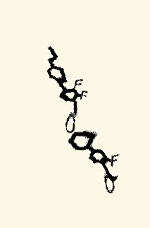 C/C=C/C1CCC(c2ccc(COC3CCC(c4ccc(C5CO5)c(F)c4)CC3)c(F)c2F)CC1